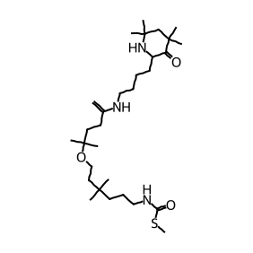 C=C(CCC(C)(C)OCCC(C)(C)CCCNC(=O)SC)NCCCCC1NC(C)(C)CC(C)(C)C1=O